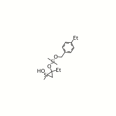 CCc1ccc(CO[Si](C)(C)OC2(CC)C[Si]2(C)O)cc1